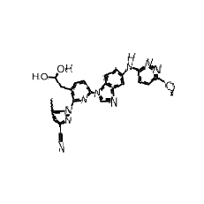 COc1ccc(Nc2ccc3c(c2)ncn3-c2ccc(CC(O)O)c(-n3nc(C#N)cc3C)n2)nn1